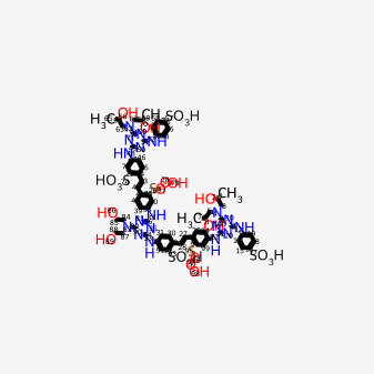 CC(O)CN(CC(C)O)c1nc(Nc2ccc(S(=O)(=O)O)cc2)nc(Nc2ccc(/C=C/c3ccc(Nc4nc(Nc5ccc(/C=C/c6ccc(Nc7nc(Nc8ccc(S(=O)(=O)O)cc8)nc(N(CC(C)O)CC(C)O)n7)cc6S(=O)(=O)O)c(SOOO)c5)nc(N(CCO)CCO)n4)cc3S(=O)(=O)O)c(SOOO)c2)n1